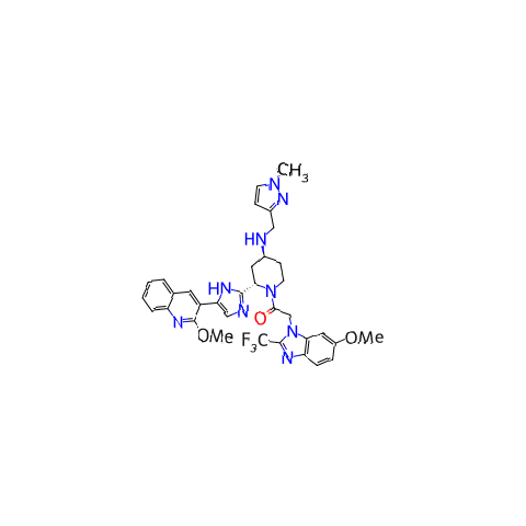 COc1ccc2nc(C(F)(F)F)n(CC(=O)N3CC[C@H](NCc4ccn(C)n4)C[C@H]3c3ncc(-c4cc5ccccc5nc4OC)[nH]3)c2c1